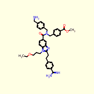 CCOCCCn1c(CCc2ccc(C(=N)N)cc2)nc2cc(C(=O)N(Cc3ccc(CN)cc3)Cc3ccc(C(=O)OC)cc3)ccc21